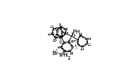 PBr.PC(c1ccccc1)(c1ccccc1)c1ccccc1-c1ccccc1